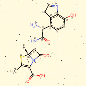 CC1=C(C(=O)O)N2C(=O)[C@@H](NC(=O)[C@H](N)c3ccc(O)c4c3CC=N4)[C@H]2S1